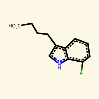 O=C(O)CCCc1c[nH]c2c(Br)cccc12